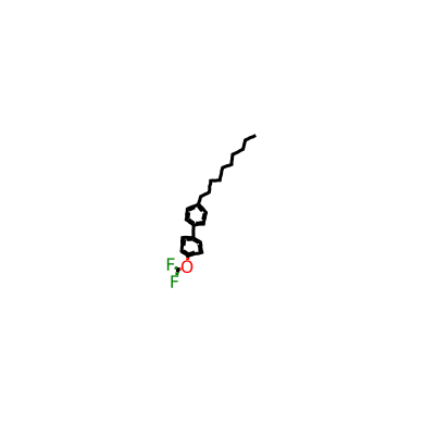 CCCCCCCCCCc1ccc(-c2ccc(OC(F)F)cc2)cc1